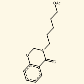 CC(=O)OCCCCCN1COc2ccccc2C1=O